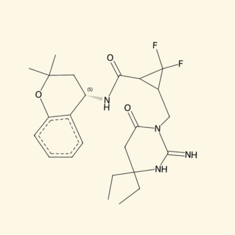 CCC1(CC)CC(=O)N(CC2C(C(=O)N[C@H]3CC(C)(C)Oc4ccccc43)C2(F)F)C(=N)N1